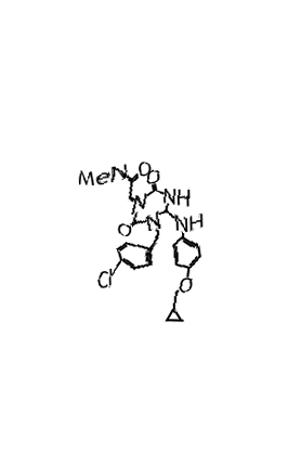 CNC(=O)CN1C(=O)NC(Nc2ccc(OCC3CC3)cc2)N(Cc2ccc(Cl)cc2)C1=O